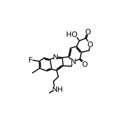 CNCCc1c2c(nc3cc(F)c(C)cc13)-c1cc3c(c(=O)n1C2)COC(=O)C3O